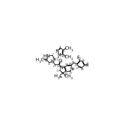 Cc1cnn(C[C@H]2CN[C@H](C)CN2CC(=O)N2CC(C)(C)c3cnc(Cc4ccc(F)cc4F)cc32)c1C